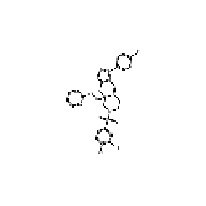 O=S(=O)(c1ccc(Cl)c(Cl)c1)N1CCC2=Cc3c(cnn3-c3ccc(F)cc3)CC2(COc2ccccn2)C1